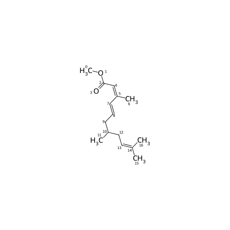 COC(=O)C=C(C)C=CCC(C)CC=C(C)C